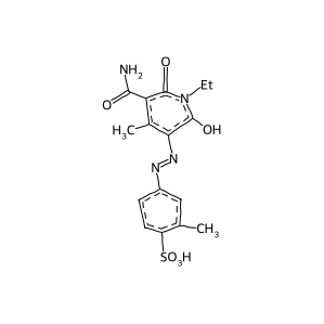 CCn1c(O)c(N=Nc2ccc(S(=O)(=O)O)c(C)c2)c(C)c(C(N)=O)c1=O